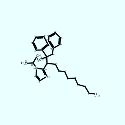 CCCCCCCCCC(c1nccn1C(C)C)C(C)(Cc1ccccc1)c1ccccc1